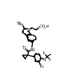 CCc1cc(C2(C(=O)Nc3ccc4c(c3)cc(C(C)(C)C)n4CCC(=O)O)CC2)ccc1OC(C)(F)F